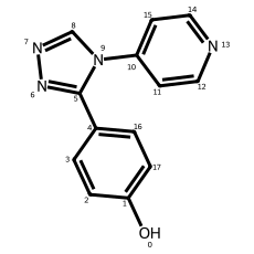 Oc1ccc(-c2nncn2-c2ccncc2)cc1